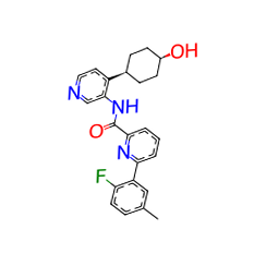 Cc1ccc(F)c(-c2cccc(C(=O)Nc3cnccc3[C@H]3CC[C@@H](O)CC3)n2)c1